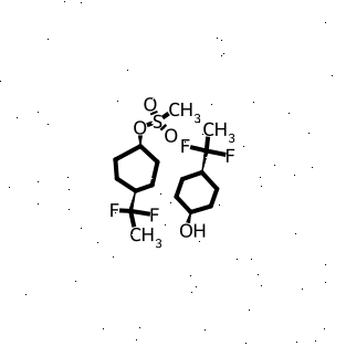 CC(F)(F)[C@H]1CC[C@@H](O)CC1.CC(F)(F)[C@H]1CC[C@@H](OS(C)(=O)=O)CC1